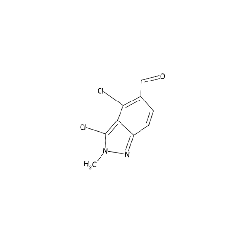 Cn1nc2ccc(C=O)c(Cl)c2c1Cl